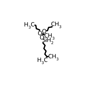 CCCCOC(C)(OCCCC)O[SiH2]CCCCCC(C)C